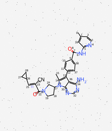 Cc1ccnc(NC(=O)c2ccc(-c3c(C)n(C4CCN(C(=O)/C(C#N)=C/C5CC5)C4)c4ncnc(N)c34)cc2)c1